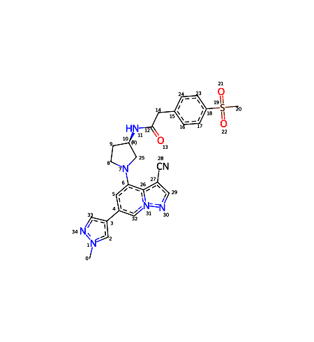 Cn1cc(-c2cc(N3CC[C@@H](NC(=O)Cc4ccc(S(C)(=O)=O)cc4)C3)c3c(C#N)cnn3c2)cn1